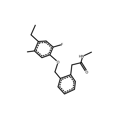 CCc1cc(F)c(OCc2ccccc2CC(=O)NC)cc1C